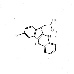 CC(C)Cn1c2c(c3cc(Br)ccc31)Nc1ccccc1N2